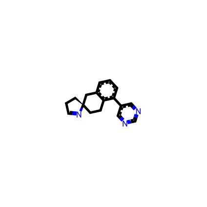 C1=N[C@@]2(CC1)CCc1c(cccc1-c1cncnc1)C2